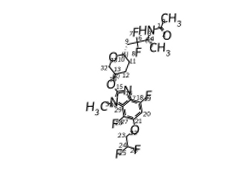 CC(=O)N[C@H](C)C(F)(F)C[C@@H]1CC[C@@H](Oc2nc3c(F)cc(OCC(F)F)c(F)c3n2C)CO1